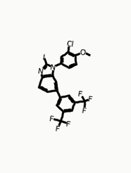 COc1ccc(-n2c(I)nc3ccc(-c4cc(C(F)(F)F)cc(C(F)(F)F)c4)cc32)cc1Cl